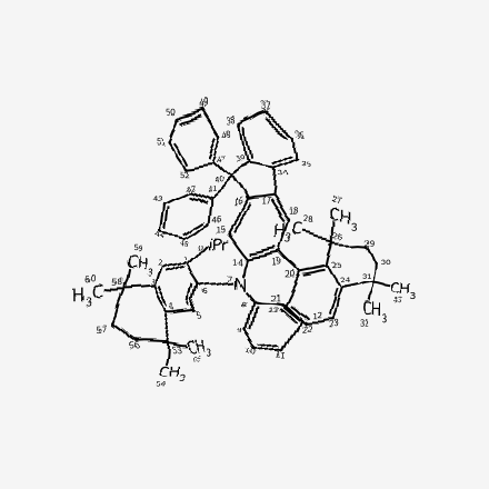 CC(C)c1cc2c(cc1N(c1ccccc1)c1cc3c(cc1-c1cccc4c1C(C)(C)CCC4(C)C)-c1ccccc1C3(c1ccccc1)c1ccccc1)C(C)(C)CCC2(C)C